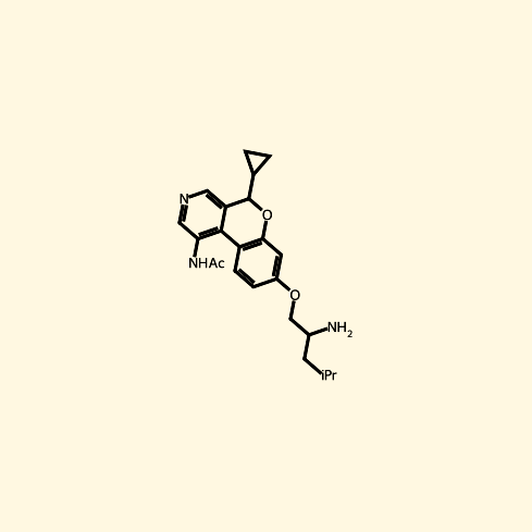 CC(=O)Nc1cncc2c1-c1ccc(OCC(N)CC(C)C)cc1OC2C1CC1